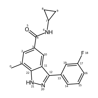 Cc1cc(C(=O)NC2CC2)cc2c(-c3cccc(F)c3)n[nH]c12